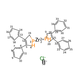 C1=[PH]([Zr+2][PH]2=CC(c3ccccc3)=C(c3ccccc3)C2)CC(c2ccccc2)=C1c1ccccc1.[Cl-].[H-]